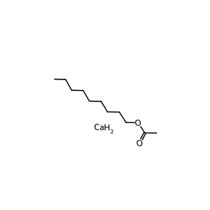 CCCCCCCCCOC(C)=O.[CaH2]